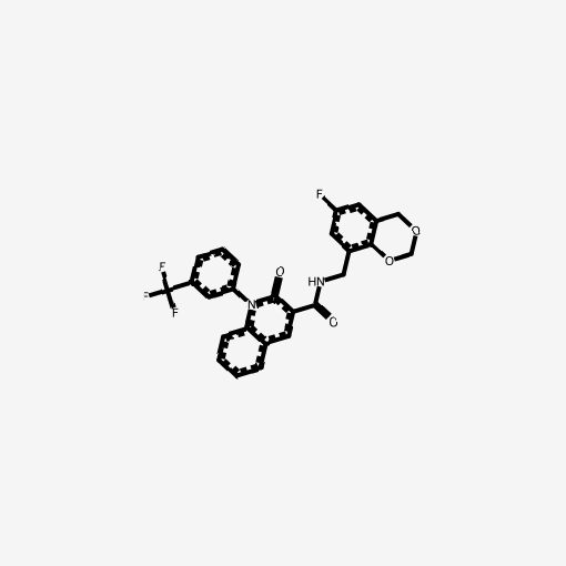 O=C(NCc1cc(F)cc2c1OCOC2)c1cc2ccccc2n(-c2cccc(C(F)(F)F)c2)c1=O